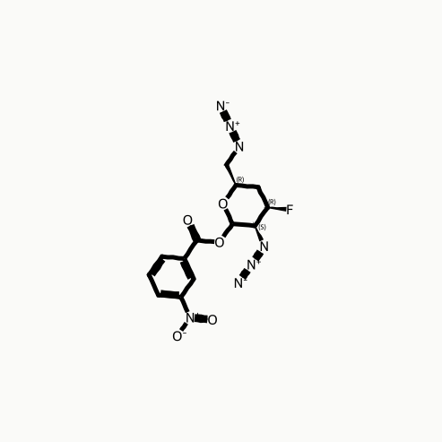 [N-]=[N+]=NC[C@H]1C[C@@H](F)[C@@H](N=[N+]=[N-])C(OC(=O)c2cccc([N+](=O)[O-])c2)O1